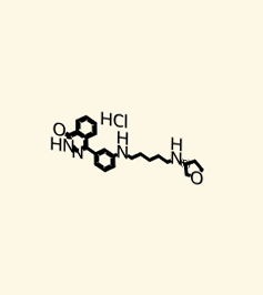 Cl.O=c1[nH]nc(-c2cccc(NCCCCCN[C@@H]3CCOC3)c2)c2ccccc12